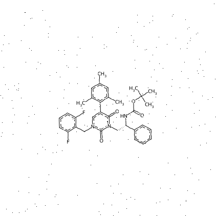 Cc1cc(C)c(-c2cn(Cc3c(F)cccc3F)c(=O)n(C[C@H](NC(=O)OC(C)(C)C)c3ccccc3)c2=O)c(C)c1